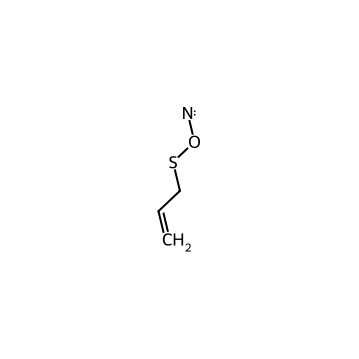 C=CCSO[N]